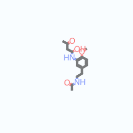 COc1ccc(CCNC(C)=O)cc1NC(O)CC(C)=O